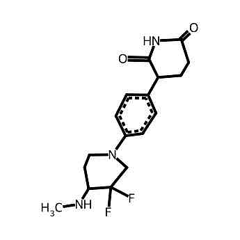 CNC1CCN(c2ccc(C3CCC(=O)NC3=O)cc2)CC1(F)F